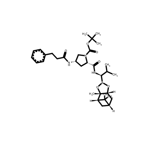 CC(C)[C@H](NC(=O)[C@@H]1C[C@H](NC(=O)CCc2ccccc2)CN1C(=O)OC(C)(C)C)B1O[C@@H]2C[C@@H]3C[C@@H](C3(C)C)[C@]2(C)O1